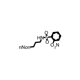 CCCCCCCCCCCCNS(=O)(=O)c1ccccc1[N+](=O)[O-]